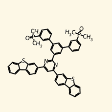 CP(C)(=O)c1cccc(-c2cc(-c3cccc(P(C)(C)=O)c3)cc(-c3nc(-c4ccc5c(c4)sc4ccccc45)cc(-c4ccc5c(c4)sc4ccccc45)n3)c2)c1